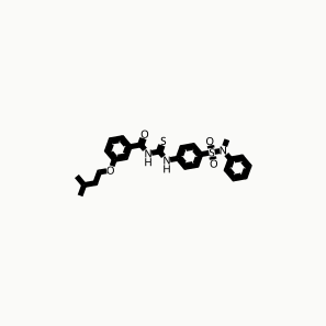 CC(C)CCOc1cccc(C(=O)NC(=S)Nc2ccc(S(=O)(=O)N(C)c3ccccc3)cc2)c1